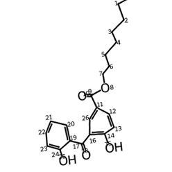 CCCCCCCCOC(=O)c1ccc(O)c(C(=O)c2ccccc2O)c1